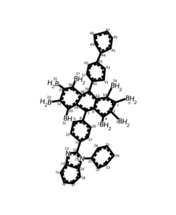 Bc1c(B)c(B)c2c(-c3ccc(-c4nc5ccccc5n4-c4ccccc4)cc3)c3c(B)c(B)c(B)c(B)c3c(-c3ccc(-c4ccccc4)cc3)c2c1B